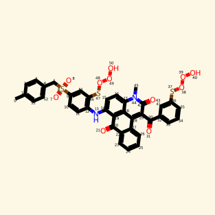 Cc1ccc(CS(=O)(=O)c2ccc(Nc3ccc4c5c3C(=O)c3ccccc3-c5c(C(=O)c3cccc(SOOO)c3)c(=O)n4C)c(SOOO)c2)cc1